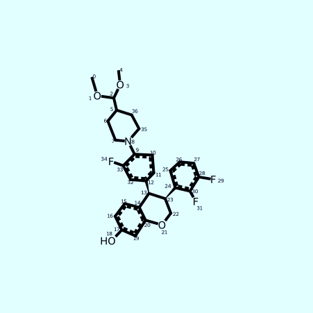 COC(OC)C1CCN(c2ccc([C@@H]3c4ccc(O)cc4OC[C@@H]3c3cccc(F)c3F)cc2F)CC1